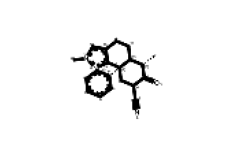 C[C@@H]1C(=O)C(C#N)C[C@@]2(c3ccccc3)c3nn(C)cc3CCC12